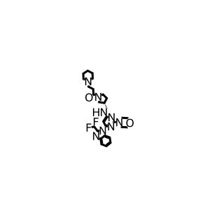 O=C(CCN1CCCCC1)N1CC[C@H](CNc2cc(-n3c(C(F)F)nc4ccccc43)nc(N3CCOCC3)n2)C1